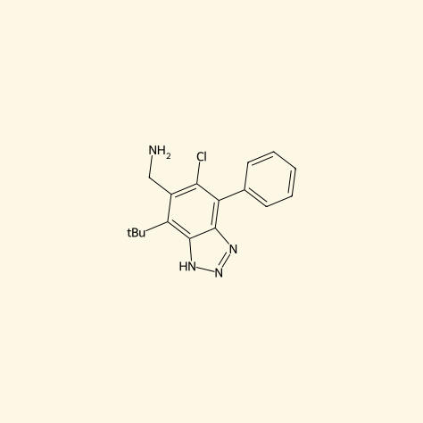 CC(C)(C)c1c(CN)c(Cl)c(-c2ccccc2)c2nn[nH]c12